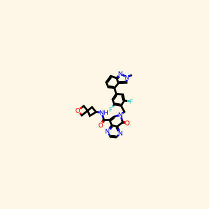 Cn1cc2c(-c3cc(F)c(Cn4cc(C(=O)NC5CC6(COC6)C5)c5nccnc5c4=O)c(F)c3)cccc2n1